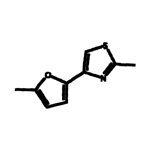 Cc1ccc(-c2csc(C)n2)o1